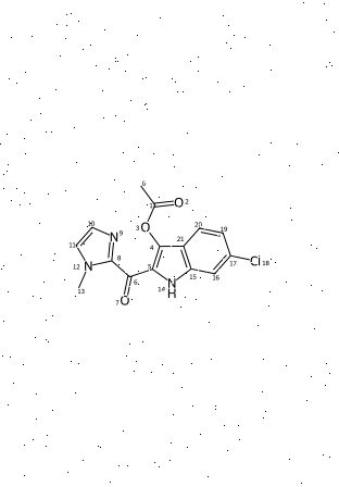 CC(=O)Oc1c(C(=O)c2nccn2C)[nH]c2cc(Cl)ccc12